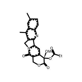 CCC(=O)O[C@]1(OC)C(=O)OCc2c1cc1n(c2=O)Cc2c-1nc1ccc(C)cc1c2C